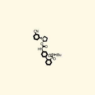 CC(C)(C)NS(=O)(=O)c1ccccc1-c1ccc(NC(=O)O[C@H]2CCCN2c2cccc(C#N)c2)cc1